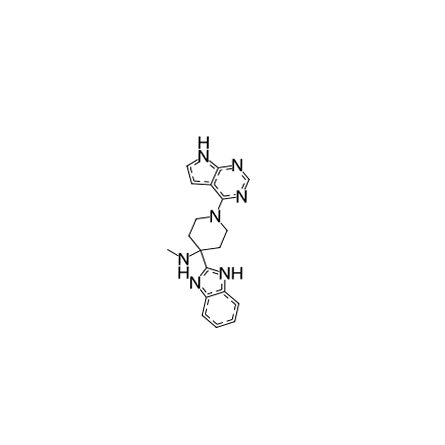 CNC1(c2nc3ccccc3[nH]2)CCN(c2ncnc3[nH]ccc23)CC1